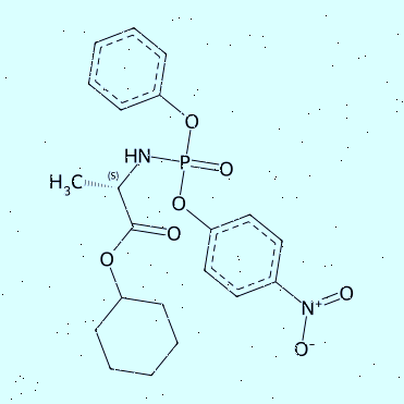 C[C@H](NP(=O)(Oc1ccccc1)Oc1ccc([N+](=O)[O-])cc1)C(=O)OC1CCCCC1